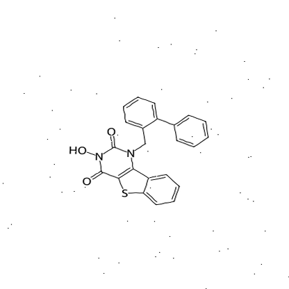 O=c1c2sc3ccccc3c2n(Cc2ccccc2-c2ccccc2)c(=O)n1O